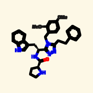 COc1ccc(Cn2c(CCc3ccccc3)nnc2[C@@H](Cc2c[nH]c3ccccc23)NC(=O)[C@@H]2CCCN2)c(OC)c1